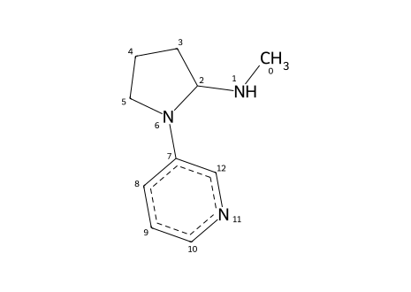 CNC1CCCN1c1cccnc1